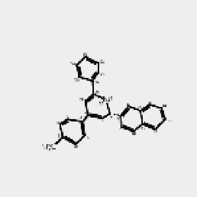 Cc1ccc(C2=C[C@@H](c3ccc4ccccc4c3)NC(c3ccccc3)=C2)cc1